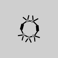 C[Si]1(C)C#C[Si](C)(C)[Si](C)(C)[Si](C)(C)C#C[Si]1(C)C